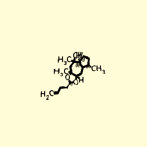 C=CCC[C@@H]1O[C@H]2CC3[C@H](C)CC[C@H]3C(C)(C)C[C@@]2(C)O1